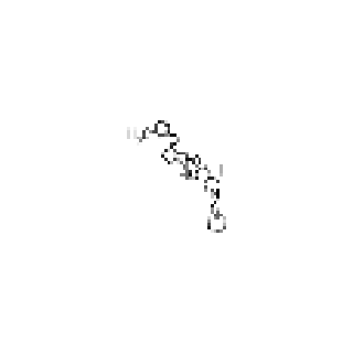 Cc1cccc(Oc2cccc3[nH]c(OC(=O)NC4CCN(CCN5CCCCCC5)CC4)cc23)c1